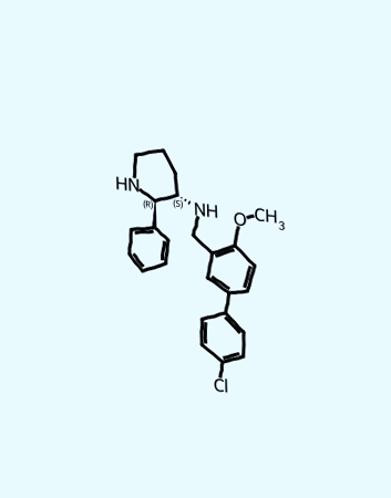 COc1ccc(-c2ccc(Cl)cc2)cc1CN[C@H]1CCCN[C@@H]1c1ccccc1